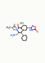 CC(C)Cn1c(CN)c(-c2ccccc2)c2cc(-c3noc(=O)[nH]3)ccc2c1=O.Cl